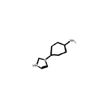 NC1CCC(N2C=CNC2)CC1